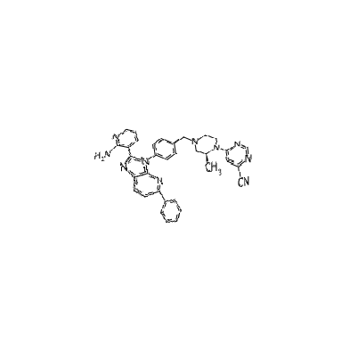 C[C@H]1CN(Cc2ccc(-n3c(-c4cccnc4N)nc4ccc(-c5ccccc5)nc43)cc2)CCN1c1cc(C#N)ncn1